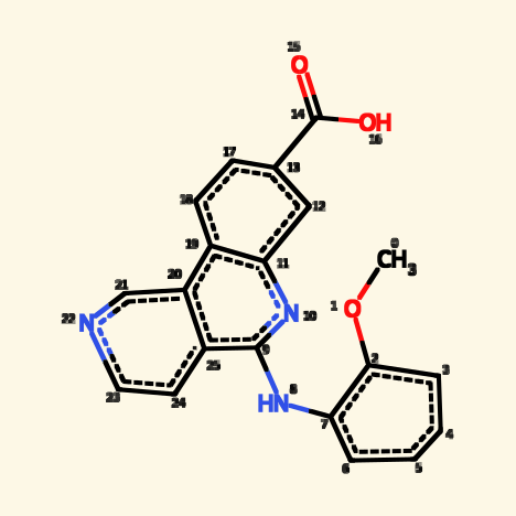 COc1ccccc1Nc1nc2cc(C(=O)O)ccc2c2cnccc12